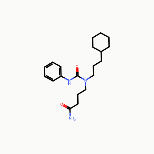 NC(=O)CCCN(CCCC1CCCCC1)C(=O)Nc1ccccc1